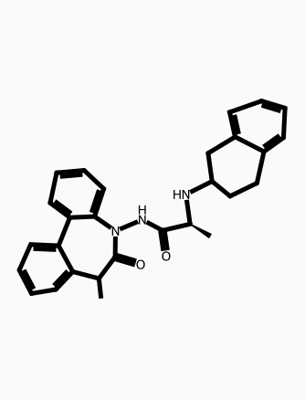 CC1C(=O)N(NC(=O)[C@H](C)NC2CCc3ccccc3C2)c2ccccc2-c2ccccc21